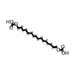 O=C(O)OC=CCCCCCCCCCCCCCCOC(=O)O